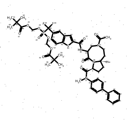 CC(=O)N1CC[C@H]2CC[C@@H](C(=O)N(C)c3ccc(-c4ccccc4)cc3)N2C(=O)C(NC(=O)c2cc3cc(C(F)(F)P(=O)(OCOC(=O)C(C)(C)C)OCOC(=O)C(C)(C)C)ccc3s2)C1